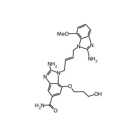 COc1cccc2nc(N)n(C/C=C/Cn3c(N)nc4cc(C(N)=O)cc(OCCCO)c43)c12